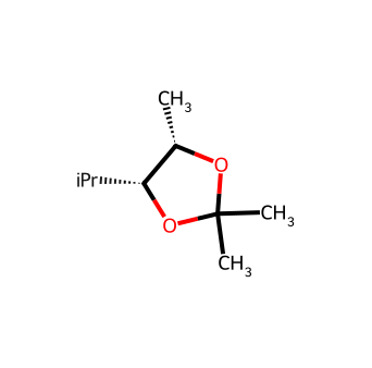 CC(C)[C@H]1OC(C)(C)O[C@H]1C